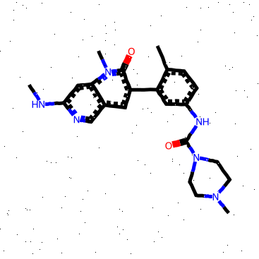 CNc1cc2c(cn1)cc(-c1cc(NC(=O)N3CCN(C)CC3)ccc1C)c(=O)n2C